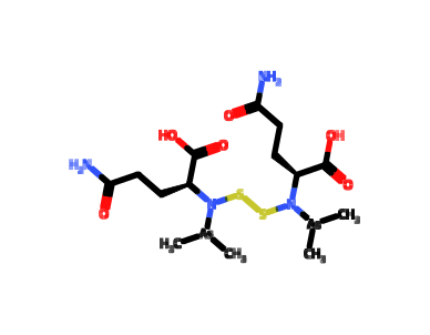 C[As](C)N(SSN([C@@H](CCC(N)=O)C(=O)O)[As](C)C)[C@@H](CCC(N)=O)C(=O)O